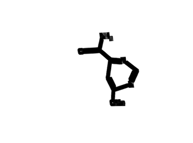 COc1cc(C(N)=O)ncn1